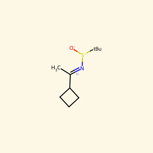 C/C(=N\[S+]([O-])C(C)(C)C)C1CCC1